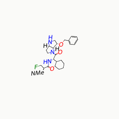 CN[C@@H](CF)C(=O)N[C@H](C(=O)N1CC[C@H]2NC[C@H](OCc3ccccc3)[C@H]21)C1CCCCC1